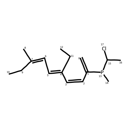 C=C(\C=C/C(=C/C=C(/C)CC)CC)P(C)C(C)Cl